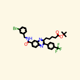 CC(C)(C)OC(=O)CCCCc1nc2cc(C(=O)NCc3cccc(Br)c3)ccc2nc1-c1ccc(C(F)(F)F)cc1